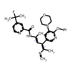 C=N/C(C)=C(\C=C(/C)NC(=O)c1cc(C(C)(C)F)ccn1)c1cnc(OC(C)C)c(N2CCOCC2)c1